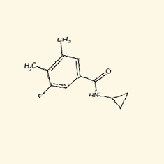 Cc1cc(C(=O)NC2CC2)cc(F)c1C